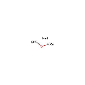 CNOC=O.[NaH]